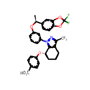 C[C@H](Oc1cccc(-n2nc(C(F)(F)F)c3c2[C@@H](Oc2ccc(C(=O)O)cc2)CCC3)c1)c1ccc2c(c1)OC(F)(F)O2